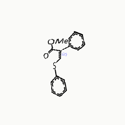 COC(=O)/C(=C\Sc1ccccc1)c1ccccc1